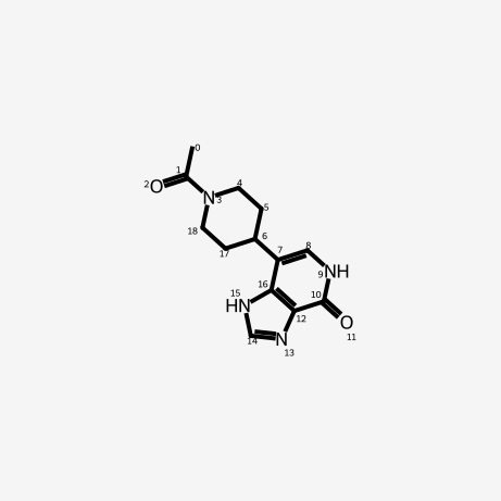 CC(=O)N1CCC(c2c[nH]c(=O)c3nc[nH]c23)CC1